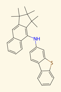 CC1(C)c2cc3ccccc3c(Nc3ccc4c(c3)sc3ccccc34)c2C(C)(C)C1(C)C